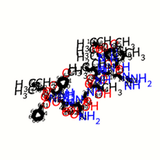 C=C(N[C@H](C(=O)N[C@@H](CC(C)C)C(=O)N[C@H](CCCNC(=N)N)C(=O)NC(C(=O)N[C@H](C(=O)NCC(=O)N[C@H](C(=O)N[C@@H](CO)C(=O)N[C@@H](c1ccc(OC)cc1)[C@@H](NC(=O)OCc1ccccc1)C(=O)OCC[Si](C)(C)C)[C@H](O)C(N)=O)[C@H](C)O)[C@@H](C)CC)[C@H](O)C(C)OC)OC(C)(C)C